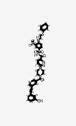 O=C(NS(=O)(=O)c1ccc(NCCSc2ccccc2)c([N+](=O)[O-])c1)c1ccc(N2CCN(C(=O)c3cncc(C#Cc4cccc(O)c4)c3)CC2)nn1